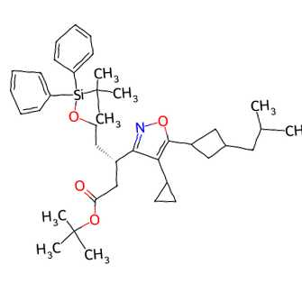 CC(C)CC1CC(c2onc([C@@H](CCO[Si](c3ccccc3)(c3ccccc3)C(C)(C)C)CC(=O)OC(C)(C)C)c2C2CC2)C1